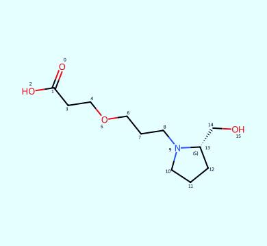 O=C(O)CCOCCCN1CCC[C@H]1CO